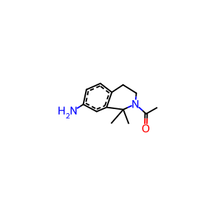 CC(=O)N1CCc2ccc(N)cc2C1(C)C